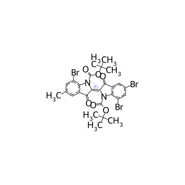 Cc1cc(Br)c2c(c1)C(=O)/C(=C1/C(=O)c3cc(Br)cc(Br)c3N1C(=O)OC(C)(C)C)N2C(=O)OC(C)(C)C